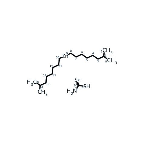 CC(C)CCCCC[CH2][Zn][CH2]CCCCCC(C)C.NC(=S)S